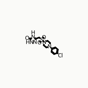 O=c1[nH]nc(CS(=O)(=O)N2CCN(c3ccc(Cl)cc3)CC2)[nH]1